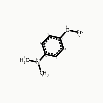 C[CH]Oc1ccc(N(C)C)cc1